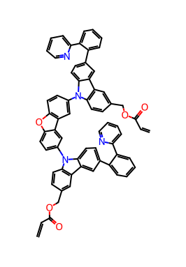 C=CC(=O)OCc1ccc2c(c1)c1cc(-c3ccccc3-c3ccccn3)ccc1n2-c1ccc2oc3ccc(-n4c5ccc(COC(=O)C=C)cc5c5cc(-c6ccccc6-c6ccccn6)ccc54)cc3c2c1